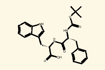 CC(C)(C)OC(=O)N[C@H](Cc1ccccc1)C(=O)N[C@@H](Cc1c[nH]c2ccccc12)C(=O)O